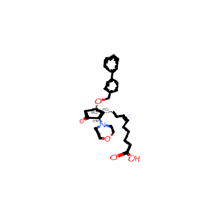 O=C(O)CCCC/C=C\CC[C@H]1[C@@H](OCc2ccc(-c3ccccc3)cc2)CC(=O)[C@@H]1N1CCOCC1